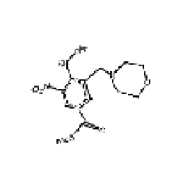 CCCNc1c(CN2CCOCC2)cc(C(=O)OC)cc1[N+](=O)[O-]